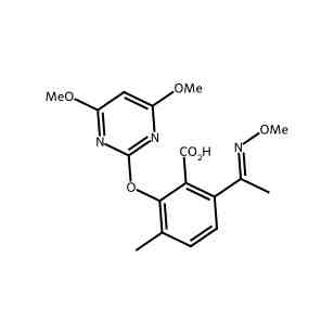 CON=C(C)c1ccc(C)c(Oc2nc(OC)cc(OC)n2)c1C(=O)O